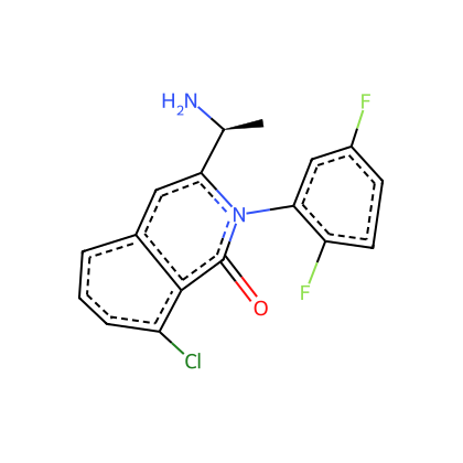 C[C@H](N)c1cc2cccc(Cl)c2c(=O)n1-c1cc(F)ccc1F